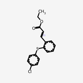 CCOC(=O)/C=C/c1ccccc1Sc1ccc(Cl)cc1